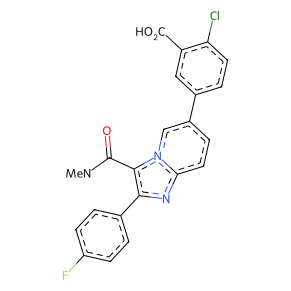 CNC(=O)c1c(-c2ccc(F)cc2)nc2ccc(-c3ccc(Cl)c(C(=O)O)c3)cn12